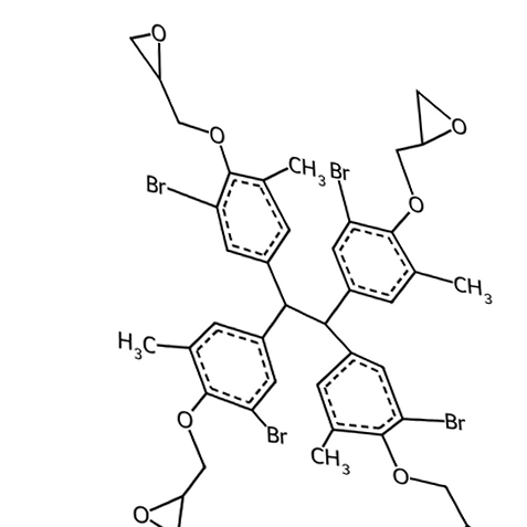 Cc1cc(C(c2cc(C)c(OCC3CO3)c(Br)c2)C(c2cc(C)c(OCC3CO3)c(Br)c2)c2cc(C)c(OCC3CO3)c(Br)c2)cc(Br)c1OCC1CO1